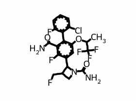 CC(Oc1cc(C2C(CF)CN2C(N)=O)c(F)c(C(N)=O)c1-c1c(F)cccc1Cl)C(F)(F)F